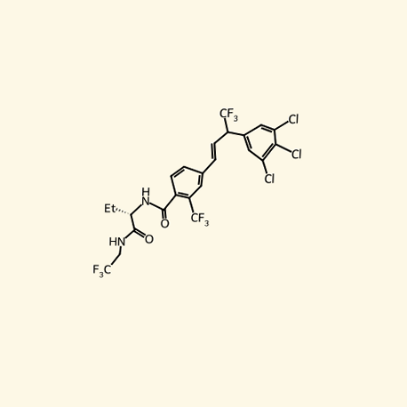 CC[C@H](NC(=O)c1ccc(/C=C/C(c2cc(Cl)c(Cl)c(Cl)c2)C(F)(F)F)cc1C(F)(F)F)C(=O)NCC(F)(F)F